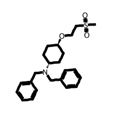 CS(=O)(=O)CCO[C@H]1CC[C@H](N(Cc2ccccc2)Cc2ccccc2)CC1